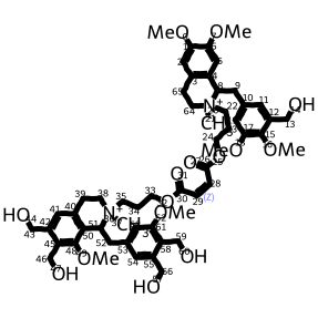 COc1cc2c(cc1OC)C(Cc1cc(CO)c(OC)c(OC)c1)[N+](C)(CCCOC(=O)/C=C\C(=O)OCCC[N+]1(C)CCc3cc(CO)c(CO)c(OC)c3C1Cc1cc(CO)c(CO)c(OC)c1)CC2